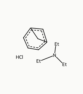 CCN(CC)CC.Cl.c1cc2cc(c1)C2